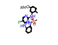 COc1ccc(C)c(Nc2ncc(F)c(Nc3ccccc3NS(C)(=O)=O)n2)c1